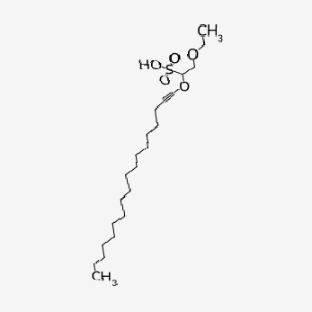 CCCCCCCCCCCCCCCCC#COC(COCC)S(=O)(=O)O